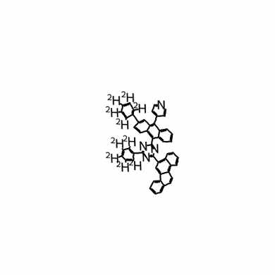 [2H]c1c([2H])c([2H])c(-c2ccc3c(-c4nc(-c5c([2H])c([2H])c([2H])c([2H])c5[2H])nc(-c5cc6c7ccccc7ccc6c6ccccc56)n4)c4ccccc4c(-c4ccncc4)c3c2)c([2H])c1[2H]